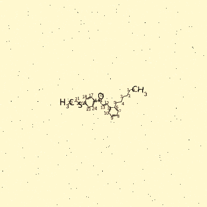 CCCCCCc1ccccc1C=CC(=O)c1ccc(SCC)cc1